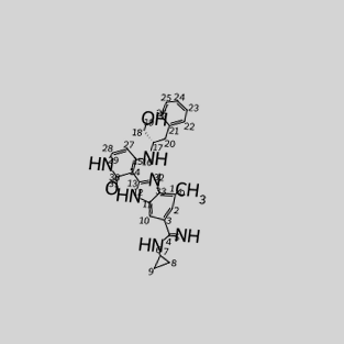 Cc1cc(C(=N)NC2CC2)cc2[nH]c(-c3c(N[C@H](CO)Cc4ccccc4)cc[nH]c3=O)nc12